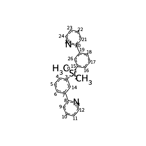 C[Si](C)(c1cccc(-c2ccccn2)c1)c1cccc(-c2ccccn2)c1